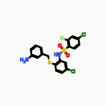 Nc1cccc(CSc2ccc(Cl)cc2NS(=O)(=O)c2ccc(Cl)cc2F)c1